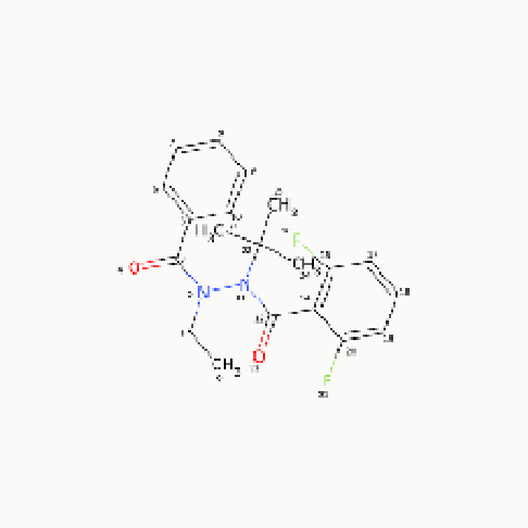 CCN(C(=O)c1ccccc1)N(C(=O)c1c(F)cccc1F)C(C)(C)C